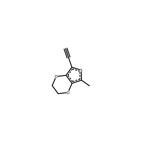 C#Cc1sc(C)c2c1OCCO2